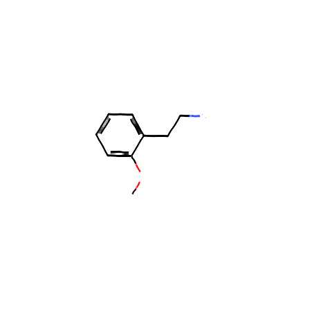 CCCCOc1ccccc1CCN